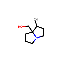 N#CC1CCN2CCCC12CO